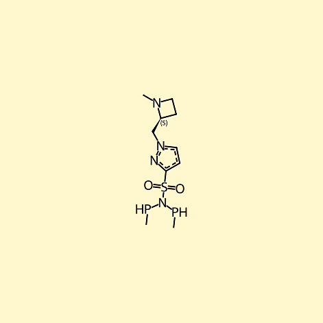 CPN(PC)S(=O)(=O)c1ccn(C[C@@H]2CCN2C)n1